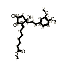 COC(=O)CCCCCC=C1C(=O)C(Cl)=CC1(O)CCCc1ccc(OC)c(OC)c1